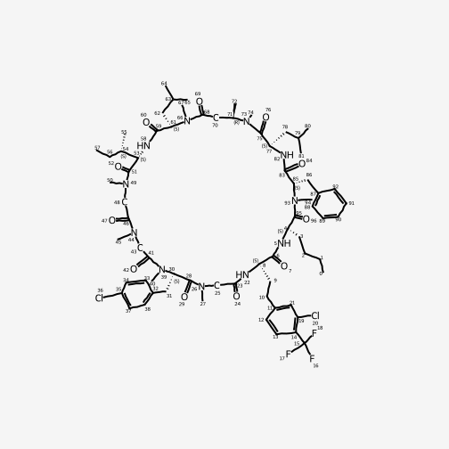 CCCC[C@@H]1NC(=O)[C@H](CCc2ccc(C(F)(F)F)c(Cl)c2)NC(=O)CN(C)C(=O)[C@H](Cc2ccc(Cl)cc2)N(C)C(=O)CN(C)C(=O)CN(C)C(=O)[C@H]([C@@H](C)CC)NC(=O)[C@H](CC(C)C)N(C)C(=O)C[C@@H](C)N(C)C(=O)[C@H](CC(C)C)NC(=O)[C@H](Cc2ccccc2)N(C)C1=O